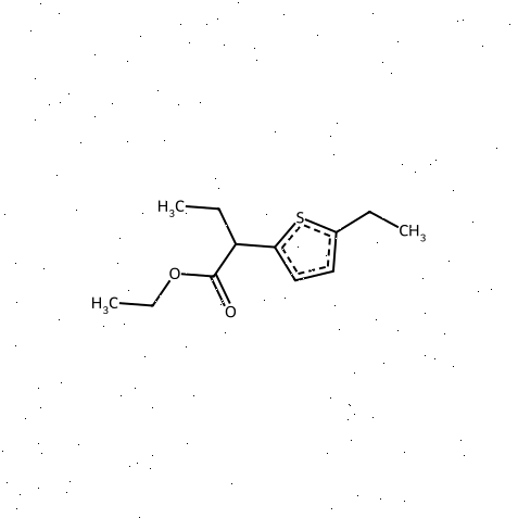 CCOC(=O)C(CC)c1ccc(CC)s1